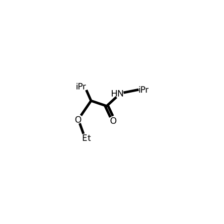 CCOC(C(=O)NC(C)C)C(C)C